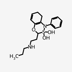 CCCNCCC1OC2=C(CCC=C2)N(c2ccccc2)S1(O)O